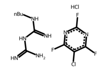 CCCCNC(=N)NC(=N)N.Cl.Fc1nc(F)c(Cl)c(F)n1